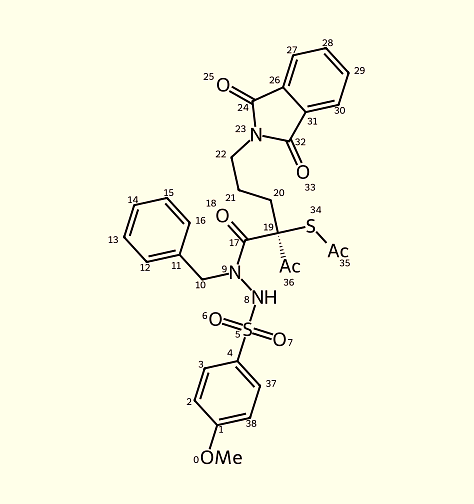 COc1ccc(S(=O)(=O)NN(Cc2ccccc2)C(=O)[C@@](CCCN2C(=O)c3ccccc3C2=O)(SC(C)=O)C(C)=O)cc1